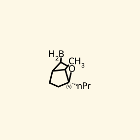 BC1O[C@@]2(CCC)CCC1C2C